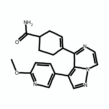 COc1ccc(-c2cnn3ccnc(C4=CCC(C(N)=O)CC4)c23)cn1